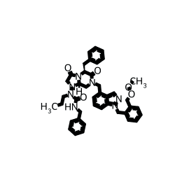 CCCN(C(=O)NCc1ccccc1)N1CC(=O)N2[C@@H](Cc3ccccc3)C(=O)N(Cc3cccc4c3cnn4Cc3ccccc3COOC)C[C@@H]21